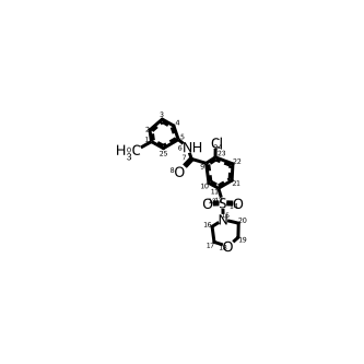 Cc1cccc(NC(=O)c2cc(S(=O)(=O)N3CCOCC3)ccc2Cl)c1